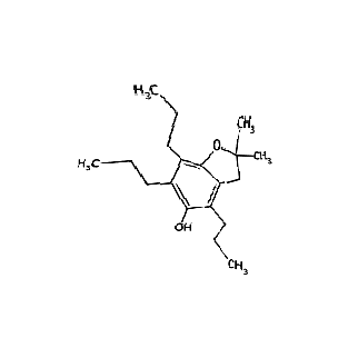 CCCc1c(O)c(CCC)c2c(c1CCC)OC(C)(C)C2